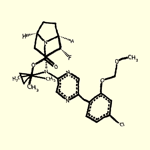 COCOc1cc(Cl)ccc1-c1cnc(N(C2CC2)[C@@H]2C[C@H]3CC[C@@H]([C@@H]2F)N3C(=O)OC(C)(C)C)cn1